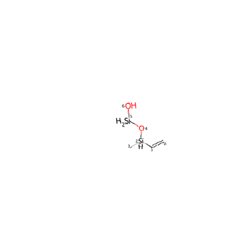 C=C[SiH](C)O[SiH2]O